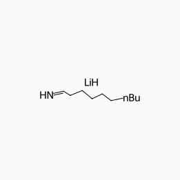 CCCCCCCCCC=N.[LiH]